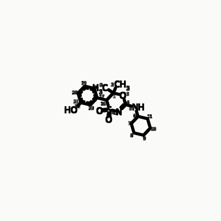 CC1(C)OC(NC2CCCCC2)=NS(=O)(=O)C1c1cccc(O)c1